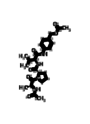 CC(=O)N[C@H](C)C(=O)N1CCC[C@H]1C(=O)N[C@H](C(=O)Nc1ccc(COC(C)=O)cc1)C(C)C